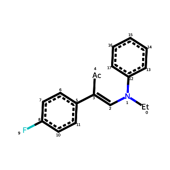 CCN(/C=C(\C(C)=O)c1ccc(F)cc1)c1ccccc1